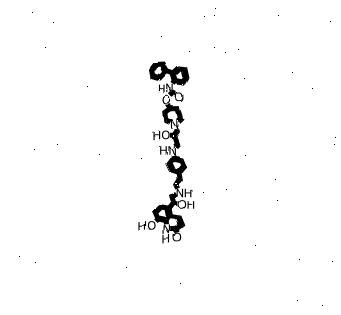 O=C(Nc1ccccc1-c1ccccc1)OC1CCN(CC(O)CNc2ccc(CCNCC(O)c3ccc(O)c4[nH]c(=O)ccc34)cc2)CC1